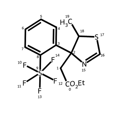 CCOC(=O)CC1(c2ccccc2S(F)(F)(F)(F)F)N=CSC1C